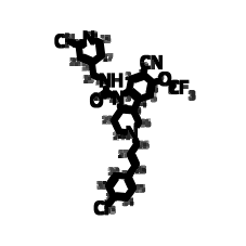 N#Cc1cc2c(cc1OC(F)(F)F)c1c(n2C(=O)NCc2ccnc(Cl)c2)CCN(C/C=C/c2ccc(Cl)cc2)C1